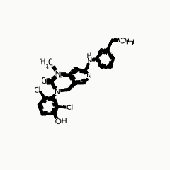 CN1C(=O)N(c2c(Cl)ccc(O)c2Cl)Cc2cnc(Nc3cccc(CO)c3)cc21